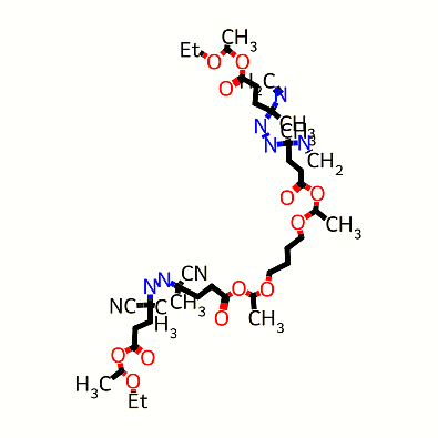 C=NC(C)(CCC(=O)OC(C)OCC)/N=N\C(C)(CCC(=O)OC(C)OCCCCOC(C)OC(=O)CCC(C)(C#N)/N=N\C(C)(C#N)CCC(=O)OC(C)OCC)N=C